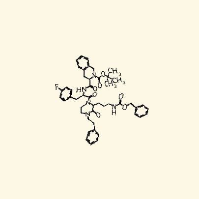 CC(C)(C)OC(=O)N1Cc2ccccc2CC1C(=O)NC(Cc1ccc(F)cc1)C(=O)N1CCN(CCc2ccccc2)C(=O)C1CCCNC(=O)OCc1ccccc1